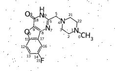 CN1CCN(Cc2nc3c(oc4ccc(F)cc43)c(=O)[nH]2)CC1